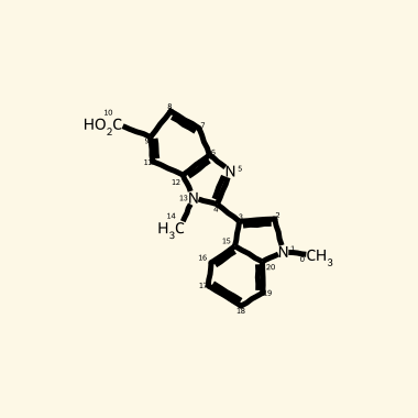 Cn1cc(-c2nc3ccc(C(=O)O)cc3n2C)c2ccccc21